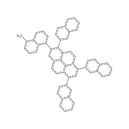 Cc1cccc2c(-c3cc4ccc5c(-c6ccc7ccccc7c6)cc(-c6ccc7ccccc7c6)c6ccc(c3-c3ccc7ccccc7c3)c4c56)cccc12